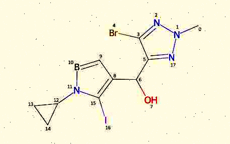 Cn1nc(Br)c(C(O)c2cbn(C3CC3)c2I)n1